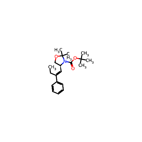 CCC(=C[C@H]1COC(C)(C)N1C(=O)OC(C)(C)C)c1ccccc1